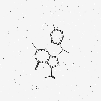 Cc1nc2c(c(C(=O)Cl)nn2C(C)c2ccc(C(F)(F)F)cc2)c(=O)[nH]1